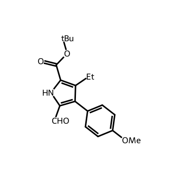 CCc1c(C(=O)OC(C)(C)C)[nH]c(C=O)c1-c1ccc(OC)cc1